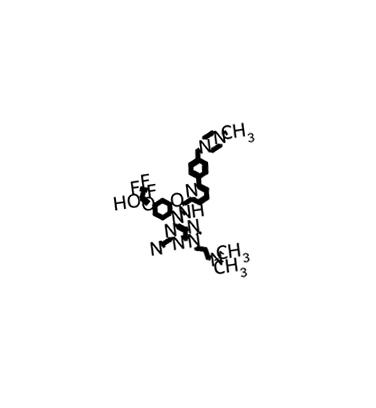 CN(C)CCCn1cnc2c(N(NC(=O)c3cccc(-c4ccc(CN5CCN(C)CC5)cc4)n3)C3CCCCC3)nc(C#N)nc21.O=C(O)C(F)(F)F